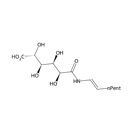 CCCCC/C=C/NC(=O)[C@@H](O)[C@H](O)[C@@H](O)[C@@H](O)C(=O)O